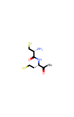 CC(C)(C)C(=O)[C@H](CCS)NC(=O)[C@@H](N)CS